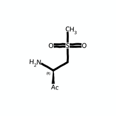 CC(=O)[C@@H](N)CS(C)(=O)=O